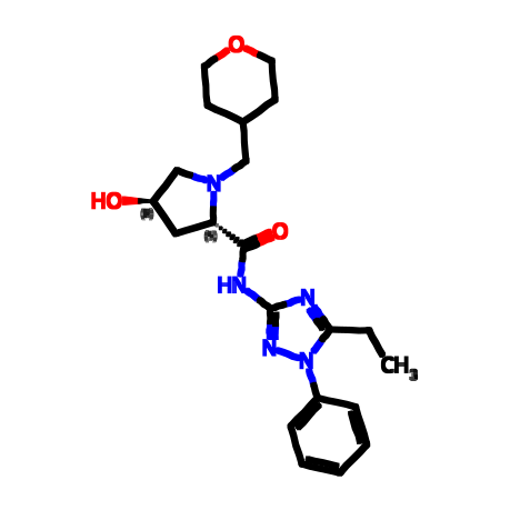 CCc1nc(NC(=O)[C@@H]2C[C@@H](O)CN2CC2CCOCC2)nn1-c1ccccc1